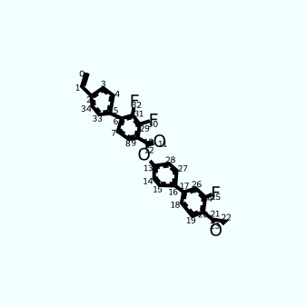 C=Cc1ccc(-c2ccc(C(=O)Oc3ccc(-c4ccc(C5CO5)c(F)c4)cc3)c(F)c2F)cc1